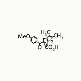 COc1ccc(C(=O)c2cc3c(C)c(C)sc3n2C(=O)O)cc1